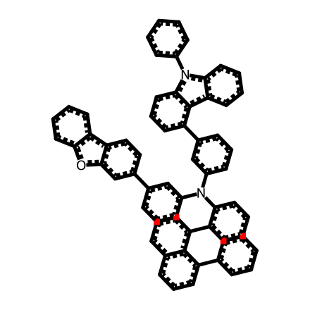 c1ccc(-c2cccc3cccc(-c4ccccc4N(c4cccc(-c5ccc6c(c5)oc5ccccc56)c4)c4cccc(-c5cccc6c5c5ccccc5n6-c5ccccc5)c4)c23)cc1